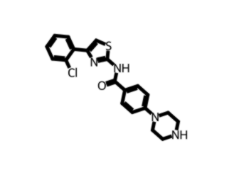 O=C(Nc1nc(-c2ccccc2Cl)cs1)c1ccc(N2CCNCC2)cc1